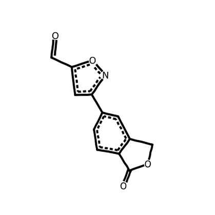 O=Cc1cc(-c2ccc3c(c2)COC3=O)no1